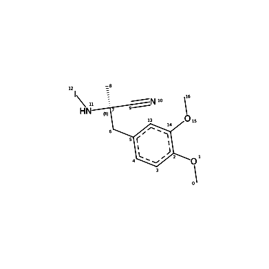 COc1ccc(C[C@](C)(C#N)NI)cc1OC